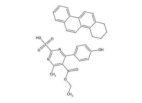 CCOC(=O)c1c(C)nc(S(=O)(=O)O)nc1-c1ccc(O)cc1.c1ccc2c(c1)ccc1c3c(ccc12)CCCC3